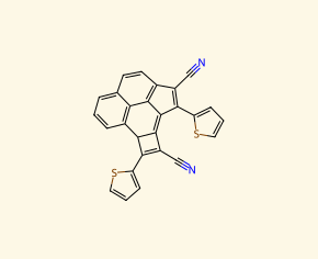 N#CC1=C(c2cccs2)C2C1=C1C(c3cccs3)=C(C#N)c3ccc4cccc2c4c31